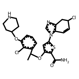 CC(Oc1cc(-n2cnc3c2C=CC(Cl)C3)sc1C(N)=O)c1cccc(OC2CCNCC2)c1Cl